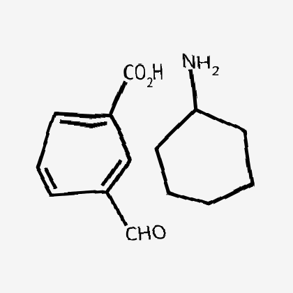 NC1CCCCC1.O=Cc1cccc(C(=O)O)c1